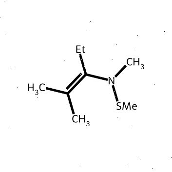 CCC(=C(C)C)N(C)SC